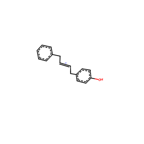 Oc1ccc(C/C=C/Cc2ccccc2)cc1